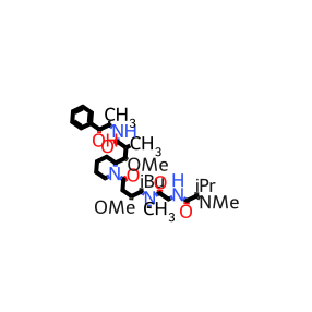 CCC(C)C(C(CC(=O)N1CCCCC1C(OC)C(C)C(=O)N[C@H](C)C(O)c1ccccc1)OC)N(C)C(=O)CNC(=O)C(NC)C(C)C